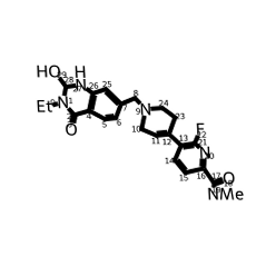 CCN1C(=O)c2ccc(CN3CC=C(c4ccc(C(=O)NC)nc4F)CC3)cc2NC1O